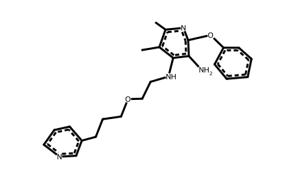 Cc1nc(Oc2ccccc2)c(N)c(NCCOCCCc2cccnc2)c1C